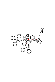 CON=CCC[C@H]1C2CCC(C[C@@H]1c1ccc(Cl)c(Cl)c1)N2CCCN(CCSC(c1ccccc1)(c1ccccc1)c1ccccc1)CC(=O)NCCSC(c1ccccc1)(c1ccccc1)c1ccccc1